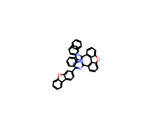 c1ccc(-c2nc(-c3ccc4c(c3)oc3ccccc34)nc(-c3cccc4oc5cccc(-c6nc7ccccc7n6-c6ccccc6)c5c34)n2)cc1